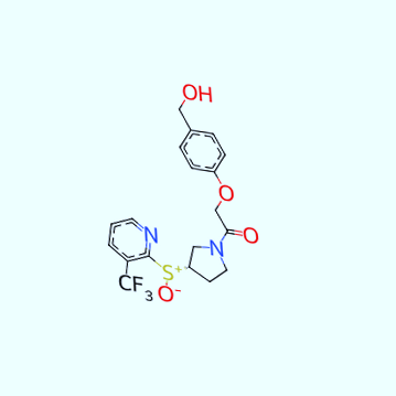 O=C(COc1ccc(CO)cc1)N1CC[C@H]([S+]([O-])c2ncccc2C(F)(F)F)C1